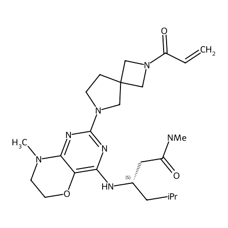 C=CC(=O)N1CC2(CCN(c3nc(N[C@H](CC(=O)NC)CC(C)C)c4c(n3)N(C)CCO4)C2)C1